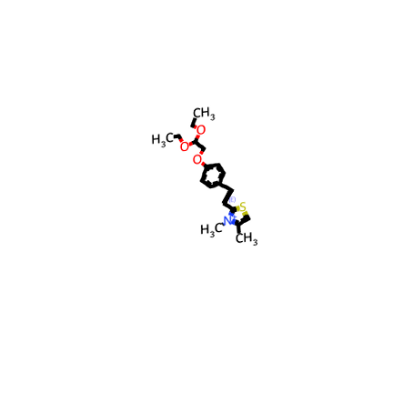 CCOC(COc1ccc(/C=C/c2scc(C)[n+]2C)cc1)OCC